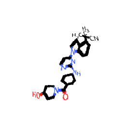 CC(C)(C#N)c1cccc2c1ccn2-c1ccnc(NC2CCC(C(=O)N3CCC(O)CC3)CC2)n1